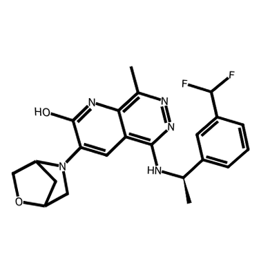 Cc1nnc(N[C@H](C)c2cccc(C(F)F)c2)c2cc(N3CC4CC3CO4)c(O)nc12